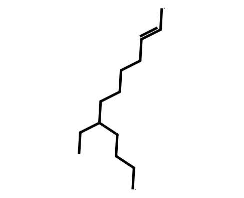 [CH2]/C=C/CCCCC(CC)CCC[CH2]